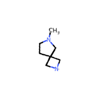 CN1CCC2(C[N]C2)C1